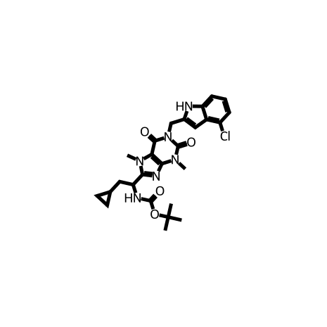 Cn1c(C(CC2CC2)NC(=O)OC(C)(C)C)nc2c1c(=O)n(Cc1cc3c(Cl)cccc3[nH]1)c(=O)n2C